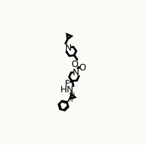 O=C(OCC1CCN(CC2CC2)CC1)N1CCC(F)(CN[C@@H]2C[C@H]2c2ccccc2)CC1